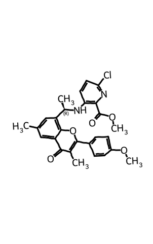 COC(=O)c1nc(Cl)ccc1N[C@H](C)c1cc(C)cc2c(=O)c(C)c(-c3ccc(OC)cc3)oc12